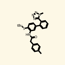 Cc1ccc(CC(=O)Nc2cc(-c3ccccc3-c3nnnn3C)ccc2SC(C)(C)C)cc1